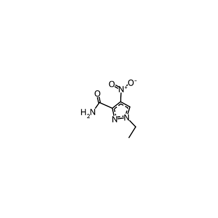 CCn1cc([N+](=O)[O-])c(C(N)=O)n1